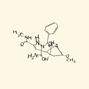 CNC(=O)C1=CC(C(N)=O)(C2[C@H]3CC(OC)C[C@@H]23)N([C@@H](C)c2ccccc2)N1